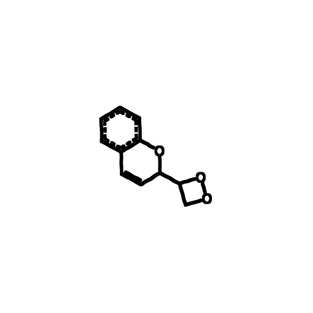 C1=CC(C2COO2)Oc2ccccc21